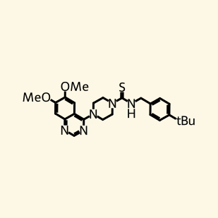 COc1cc2ncnc(N3CCN(C(=S)NCc4ccc(C(C)(C)C)cc4)CC3)c2cc1OC